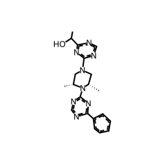 CC(O)c1ncnc(N2C[C@@H](C)N(c3ncnc(-c4ccccc4)n3)[C@@H](C)C2)n1